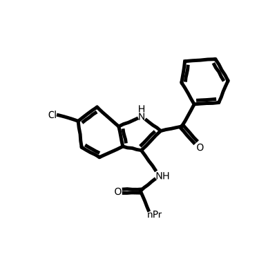 CCCC(=O)Nc1c(C(=O)c2ccccc2)[nH]c2cc(Cl)ccc12